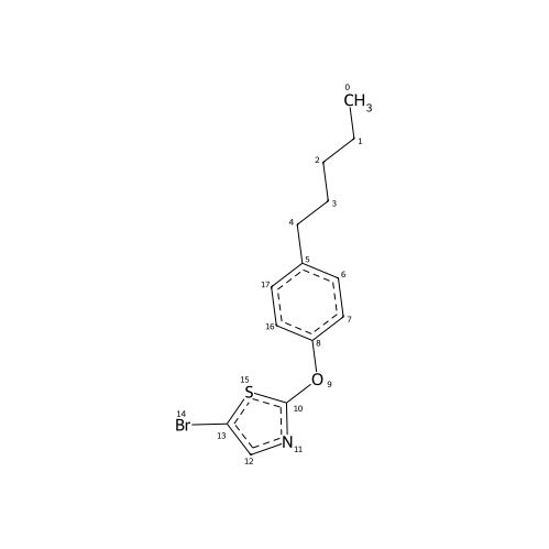 CCCCCc1ccc(Oc2ncc(Br)s2)cc1